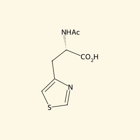 CC(=O)N[C@@H](Cc1cscn1)C(=O)O